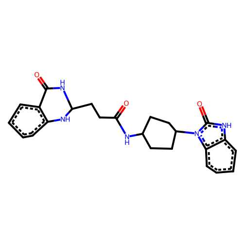 O=C(CCC1NC(=O)c2ccccc2N1)NC1CCC(n2c(=O)[nH]c3ccccc32)CC1